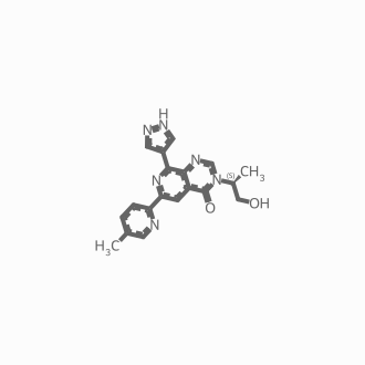 Cc1ccc(-c2cc3c(=O)n([C@@H](C)CO)cnc3c(-c3cn[nH]c3)n2)nc1